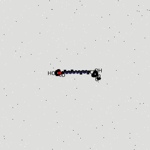 CC(=O)O[C@H]1CC(C)(C)C(=C=C/C(C)=C/C=C/C(C)=C/C=C/C=C(C)/C=C/C=C(\C)C(=O)C[C@]23O[C@@]2(C)C[C@H](O)CC3(C)C)[C@](C)(O)C1